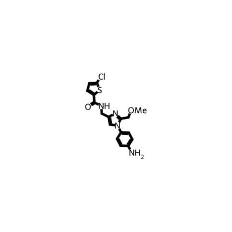 COCc1nc(CNC(=O)c2ccc(Cl)s2)cn1-c1ccc(N)cc1